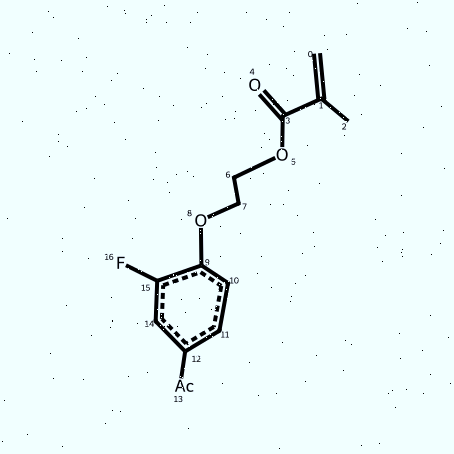 C=C(C)C(=O)OCCOc1ccc(C(C)=O)cc1F